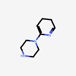 C1=NC(N2CCNCC2)=CCC1